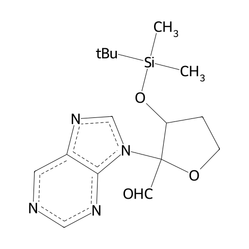 CC(C)(C)[Si](C)(C)OC1CCOC1(C=O)n1cnc2cncnc21